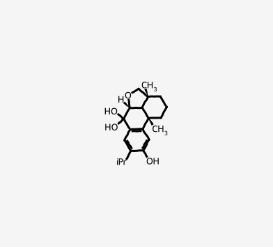 CC(C)c1cc2c(cc1O)[C@@]1(C)CCC[C@@]3(C)CO[C@H](C31)C2(O)O